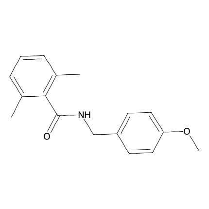 COc1ccc(CNC(=O)c2c(C)cccc2C)cc1